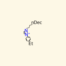 CCCCCCCCCCCCCCn1cc[n+](-c2ccc(CC)cc2)c1